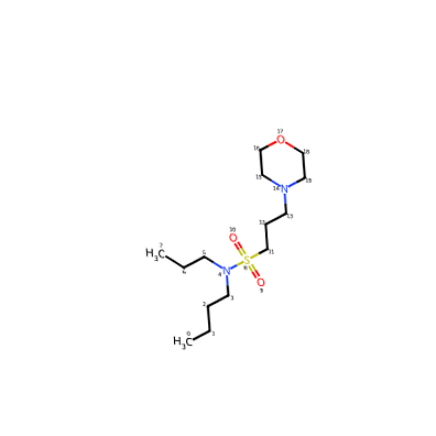 CCCCN(CCC)S(=O)(=O)CCCN1CCOCC1